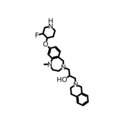 CN1CCN(CC(O)CN2CCc3ccccc3C2)Cc2ccc(OC3CCNCC3F)cc21